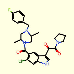 CC1CN(C(=O)c2cc3c(C(=O)C(=O)N4CCCC4)c[nH]c3cc2Cl)C(C)CN1Cc1ccc(F)cc1